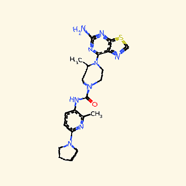 Cc1nc(N2CCCC2)ccc1NC(=O)N1CCN(c2nc(N)nc3scnc23)C(C)C1